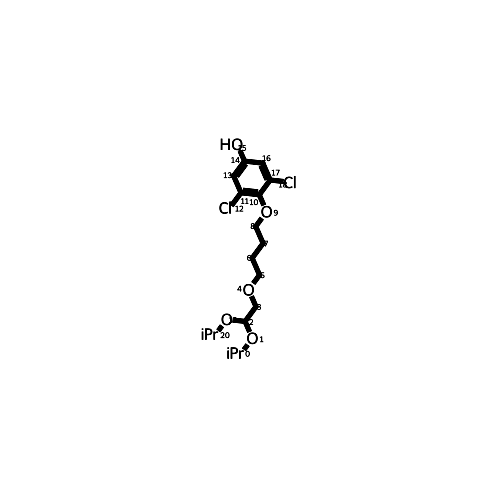 CC(C)OC(COCCCCOc1c(Cl)cc(O)cc1Cl)OC(C)C